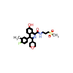 Cc1cc(-c2c(C3CCOCC3)nc(C(=O)NCCCS(C)(=O)=O)c3cc(O)ccc23)ccc1F